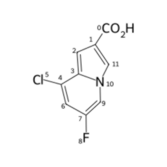 O=C(O)c1cc2c(Cl)cc(F)cn2c1